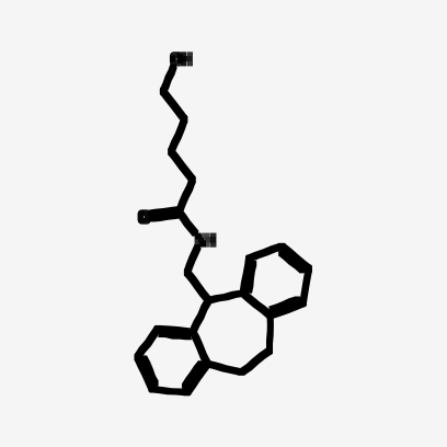 O=C(CCCCO)NCC1c2ccccc2CCc2ccccc21